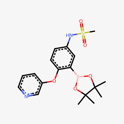 CC1(C)OB(c2cc(NS(C)(=O)=O)ccc2Oc2cccnc2)OC1(C)C